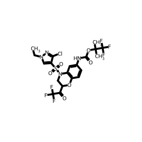 CCn1cc(S(=O)(=O)N2CC(C(=O)C(F)(F)F)Oc3ccc(NC(=O)OC(C)(C)C(F)(F)F)cc32)c(Cl)n1